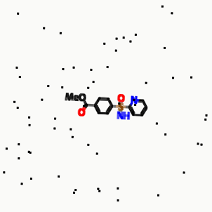 COC(=O)c1ccc(S(=N)(=O)c2ccccn2)cc1